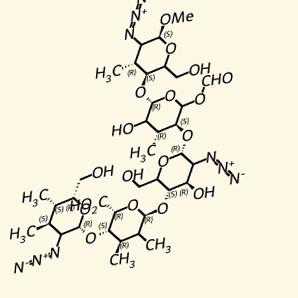 CO[C@H]1OC(CO)[C@@H](O[C@@H]2OC(OC=O)[C@@H](O[C@H]3OC(CO)[C@@H](O[C@@H]4O[C@@H](C(=O)O)[C@@H](O[C@H]5O[C@@H](CO)[C@@H](C)[C@H](C)C5N=[N+]=[N-])[C@H](C)C4C)[C@H](O)C3N=[N+]=[N-])[C@H](C)C2O)[C@H](C)C1N=[N+]=[N-]